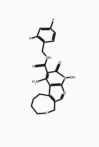 Nc1c(C(=O)NCc2ccc(F)cc2F)c(=O)n(O)c2ncc3c(c12)CCCCCC3